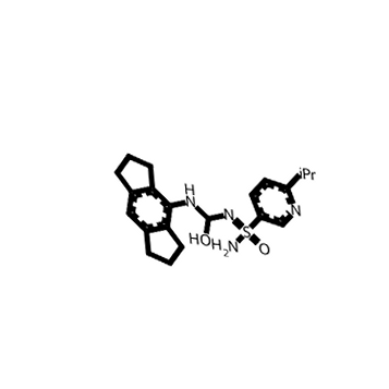 CC(C)c1ccc(S(N)(=O)=NC(O)Nc2c3c(cc4c2CCC4)CCC3)cn1